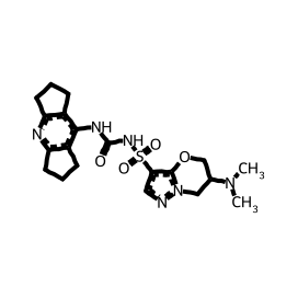 CN(C)C1COc2c(S(=O)(=O)NC(=O)Nc3c4c(nc5c3CCC5)CCC4)cnn2C1